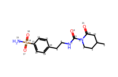 CC1CCN(C(=O)NCCc2ccc(S(N)(=O)=O)cc2)C(=O)C1